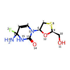 NC1(F)C=CN([C@H]2CS[C@@H](CO)O2)C(=O)N1